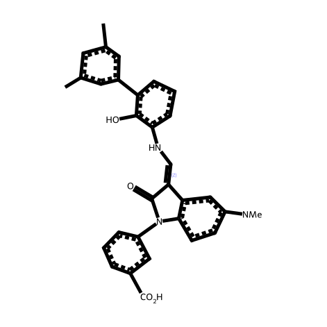 CNc1ccc2c(c1)/C(=C/Nc1cccc(-c3cc(C)cc(C)c3)c1O)C(=O)N2c1cccc(C(=O)O)c1